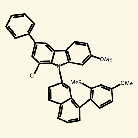 COc1ccc(-c2cccc3ccc(-n4c5cc(OC)ccc5c5cc(-c6ccccc6)cc(Cl)c54)cc23)c(SC)c1